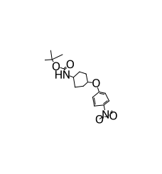 CC(C)(C)OC(=O)NC1CCC(Oc2ccc([N+](=O)[O-])cc2)CC1